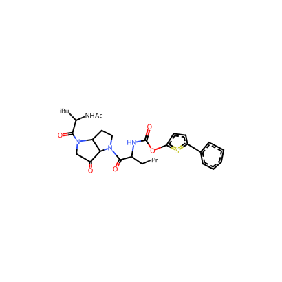 CCC(C)C(NC(C)=O)C(=O)N1CC(=O)C2C1CCN2C(=O)C(CC(C)C)NC(=O)Oc1ccc(-c2ccccc2)s1